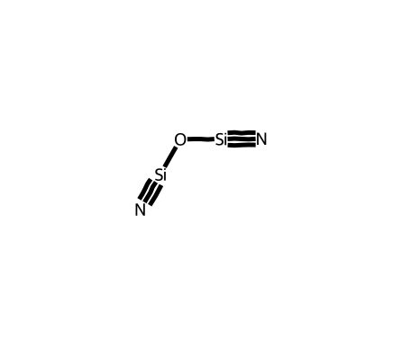 N#[Si]O[Si]#N